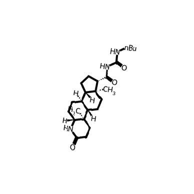 CCCCNC(=O)NC(=O)[C@H]1CC[C@H]2[C@@H]3CC[C@H]4NC(=O)CC[C@]4(C)[C@H]3CC[C@]12C